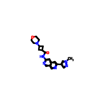 Cn1cc(-c2cc3cc(NC(=O)C4CC(N5CCOCC5)C4)ncc3cn2)cn1